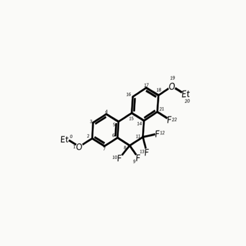 CCOc1ccc2c(c1)C(F)(F)C(F)(F)c1c-2ccc(OCC)c1F